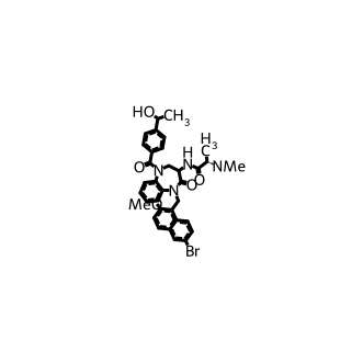 CN[C@@H](C)C(=O)NC1CN(C(=O)c2ccc(C(C)O)cc2)c2ccccc2N(Cc2c(OC)ccc3cc(Br)ccc23)C1=O